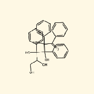 O=C(c1ccccc1)C(O)(c1ccccc1)C(O)(c1ccccc1)C(O)(c1ccccc1)C(O)CO